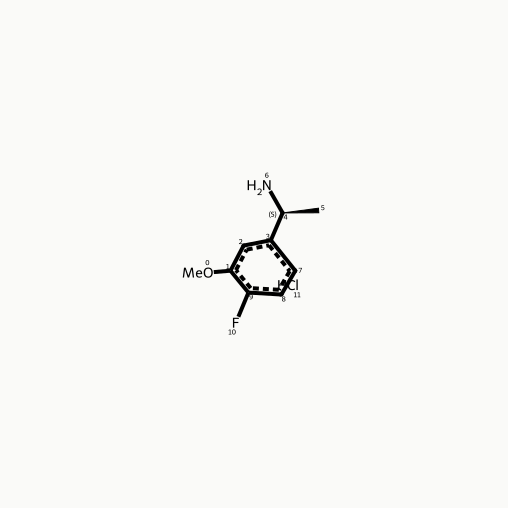 COc1cc([C@H](C)N)ccc1F.Cl